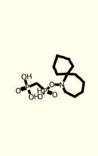 O=P(O)(O)CP(=O)(O)ON1CCCCCC12CCCCC2